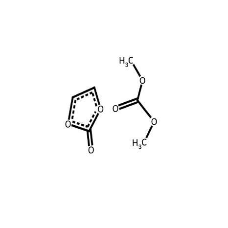 COC(=O)OC.O=c1occo1